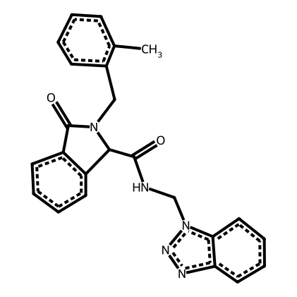 Cc1ccccc1CN1C(=O)c2ccccc2C1C(=O)NCn1nnc2ccccc21